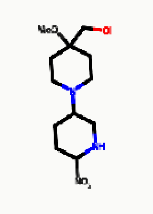 COC1(CO)CCN(C2CCC([N+](=O)[O-])NC2)CC1